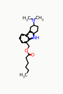 CCCCCC(=O)OCc1cccc2c3c([nH]c12)CCC(N(C)C)C3